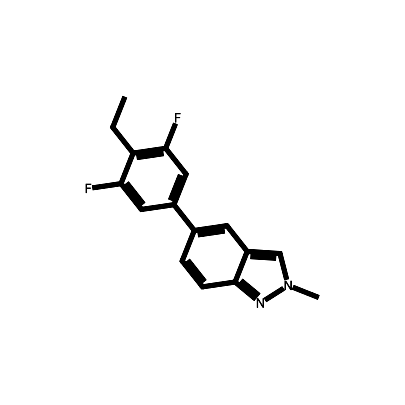 CCc1c(F)cc(-c2ccc3nn(C)cc3c2)cc1F